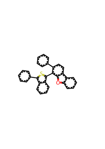 c1ccc(-c2ccc3c(oc4ccccc43)c2-c2sc(-c3ccccc3)c3ccccc23)cc1